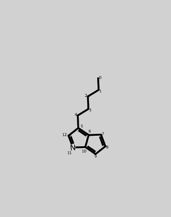 CCCCCC1=C2C=CC=C2N=[C]1